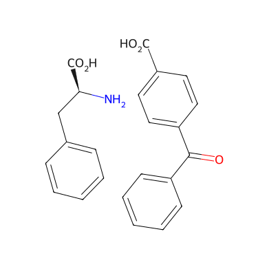 N[C@@H](Cc1ccccc1)C(=O)O.O=C(O)c1ccc(C(=O)c2ccccc2)cc1